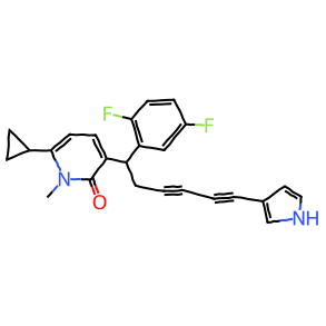 Cn1c(C2CC2)ccc(C(CC#CC#Cc2cc[nH]c2)c2cc(F)ccc2F)c1=O